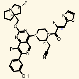 N#CC[C@H]1CN(c2nc(OC[C@@]34CCCN3C[C@H](F)C4)nc3c(F)c(-c4cccc(O)c4)ncc23)CCN1C(=O)/C(F)=C/c1nccs1